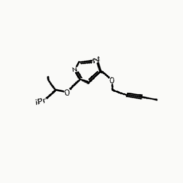 CC#CCOc1cc(OC(C)C(C)C)ncn1